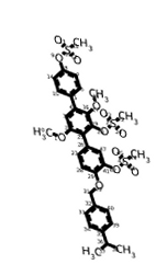 COc1cc(-c2ccc(OS(C)(=O)=O)cc2)c(OC)c(OS(C)(=O)=O)c1-c1ccc(OCc2ccc(C(C)C)cc2)c(OS(C)(=O)=O)c1